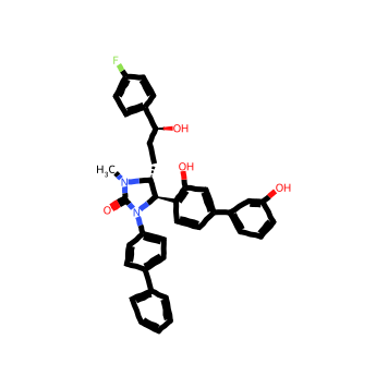 CN1C(=O)N(c2ccc(-c3ccccc3)cc2)[C@H](c2ccc(-c3cccc(O)c3)cc2O)[C@H]1CC[C@H](O)c1ccc(F)cc1